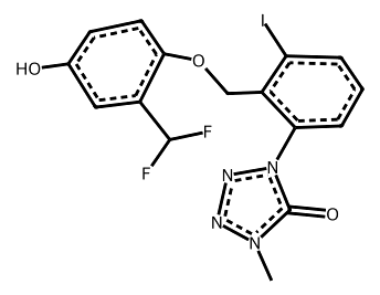 Cn1nnn(-c2cccc(I)c2COc2ccc(O)cc2C(F)F)c1=O